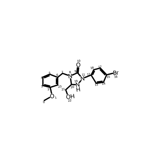 COc1cccc(CN2C(=O)N(c3ccc(Br)cc3)NC2CO)c1